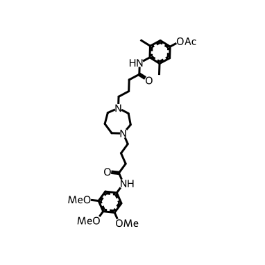 COc1cc(NC(=O)CCCN2CCCN(CCCC(=O)Nc3c(C)cc(OC(C)=O)cc3C)CC2)cc(OC)c1OC